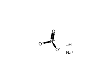 O=[N+]([O-])[O-].[LiH].[Na+]